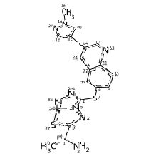 C[C@@H](N)c1nn2c(Sc3ccc4ncc(-c5cnn(C)c5)cc4c3)nnc2s1